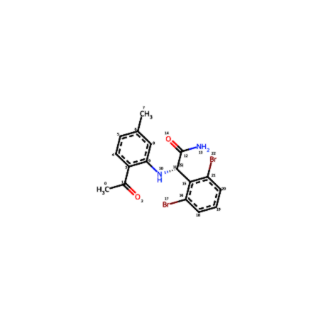 CC(=O)c1ccc(C)cc1N[C@H](C(N)=O)c1c(Br)cccc1Br